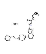 CCOC(=O)/C=C/c1cc2c(N3CCN(CCc4ccccc4)CC3)cccc2s1.Cl